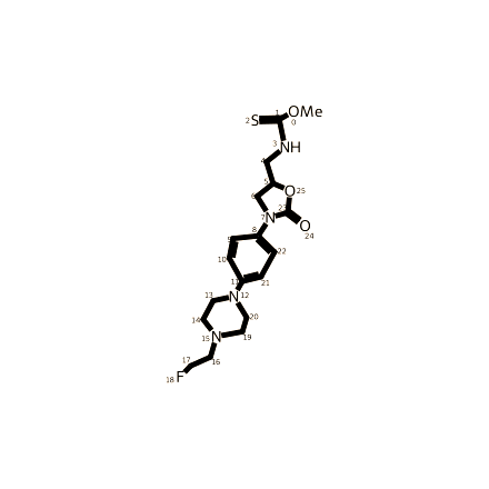 COC(=S)NCC1CN(c2ccc(N3CCN(CCF)CC3)cc2)C(=O)O1